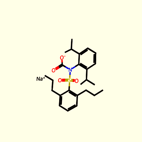 CCCc1cccc(CCC)c1S(=O)(=O)N(C(=O)[O-])c1c(C(C)C)cccc1C(C)C.[Na+]